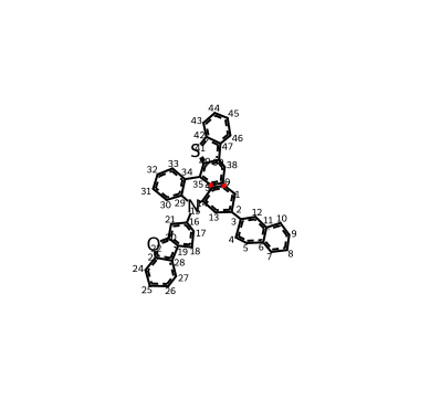 c1cc(-c2ccc3ccccc3c2)cc(N(c2ccc3c(c2)oc2ccccc23)c2ccccc2-c2cccc3c2sc2ccccc23)c1